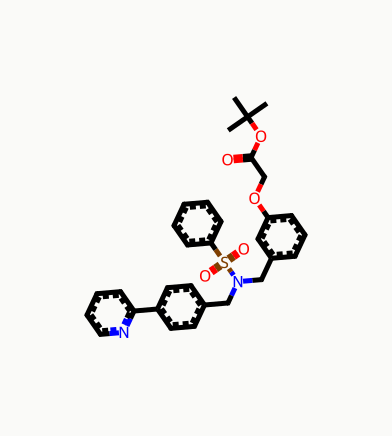 CC(C)(C)OC(=O)COc1cccc(CN(Cc2ccc(-c3ccccn3)cc2)S(=O)(=O)c2ccccc2)c1